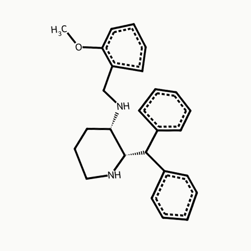 COc1ccccc1CN[C@H]1CCCN[C@H]1C(c1ccccc1)c1ccccc1